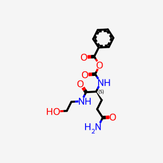 NC(=O)CC[C@H](NC(=O)OC(=O)c1ccccc1)C(=O)NCCO